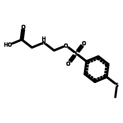 CSc1ccc(S(=O)(=O)OCNCC(=O)O)cc1